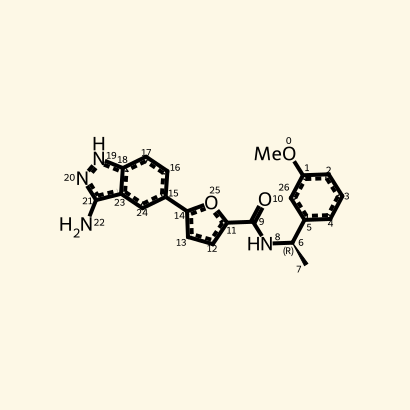 COc1cccc([C@@H](C)NC(=O)c2ccc(-c3ccc4[nH]nc(N)c4c3)o2)c1